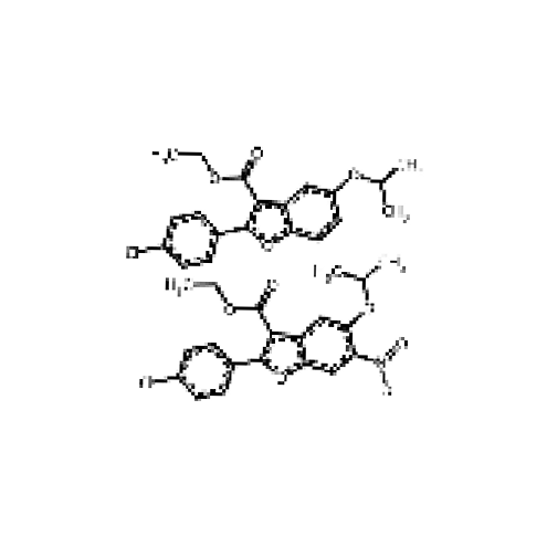 CCOC(=O)c1c(-c2ccc(Cl)cc2)oc2cc([N+](=O)[O-])c(OC(C)C)cc12.CCOC(=O)c1c(-c2ccc(Cl)cc2)oc2ccc(OC(C)C)cc12